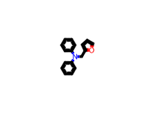 c1ccc(N(Cc2ccco2)c2ccccc2)cc1